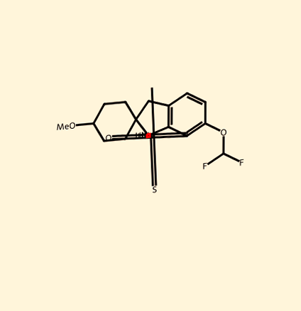 COC1CCC2(CC1)Cc1ccc(OC(F)F)cc1C21NC(=S)NC1=O